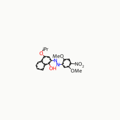 COc1cc([N+](=O)[O-])c(OC)cc1N=Nc1cc(OC(C)C)c2ccccc2c1O